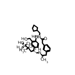 C[C@H](Cc1cccc(CC(=O)NCC2CCCC2)c1)NC[C@H](CC(C)(C)[Si](C)(C)O)c1ccc(O)c(CO)c1